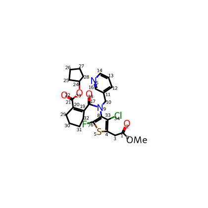 COC(=O)Cc1sc(F)c(N(Cc2cccnc2)C(=O)C2=C(C(=O)OC3CCCC3)CCCC2)c1Cl